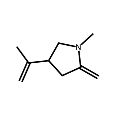 C=C(C)C1CC(=C)N(C)C1